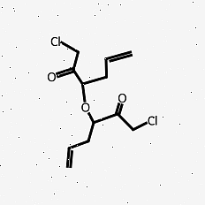 C=CCC(OC(CC=C)C(=O)CCl)C(=O)CCl